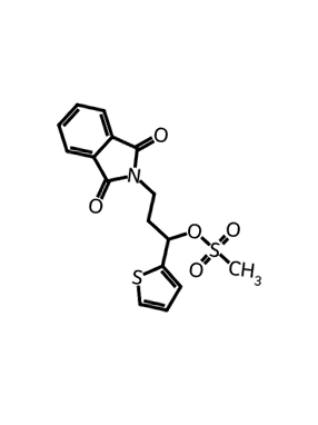 CS(=O)(=O)OC(CCN1C(=O)c2ccccc2C1=O)c1cccs1